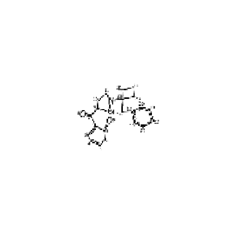 O=C1CC=CC=C1C(=O)C1CCN(C2(Cc3ccccc3)CCC2)C1